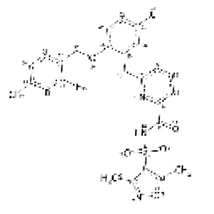 Cc1noc(C)c1S(=O)(=O)NC(=O)c1cccc(Cc2cc(Cl)ccc2OCc2ccc(Cl)cc2F)n1